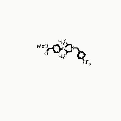 COC(=O)c1ccc(N2C(C)CN(Cc3ccc(C(F)(F)F)cc3)CC2C)cc1